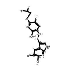 COc1nc(OCC(F)F)c(F)cc1NSc1c[nH]c2nc(Cl)c(Br)cc12